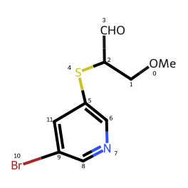 COCC(C=O)Sc1cncc(Br)c1